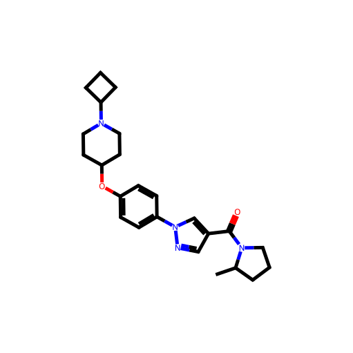 CC1CCCN1C(=O)c1cnn(-c2ccc(OC3CCN(C4CCC4)CC3)cc2)c1